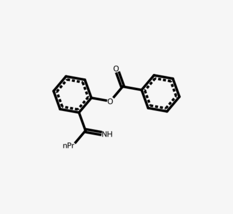 CCCC(=N)c1ccccc1OC(=O)c1ccccc1